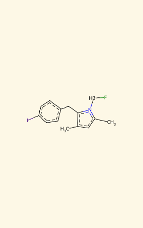 Cc1cc(C)n(BF)c1Cc1ccc(I)cc1